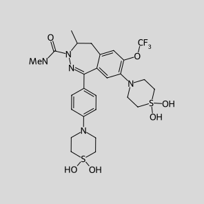 CNC(=O)N1N=C(c2ccc(N3CCS(O)(O)CC3)cc2)c2cc(N3CCS(O)(O)CC3)c(OC(F)(F)F)cc2CC1C